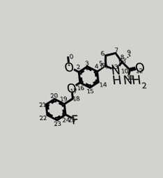 COc1cc([C@H]2CC[C@@](C)(C(N)=O)N2)ccc1OCc1ccccc1F